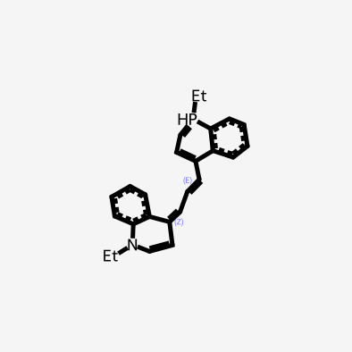 CCN1C=C/C(=C/C=C/C2=CC=[PH](CC)c3ccccc32)c2ccccc21